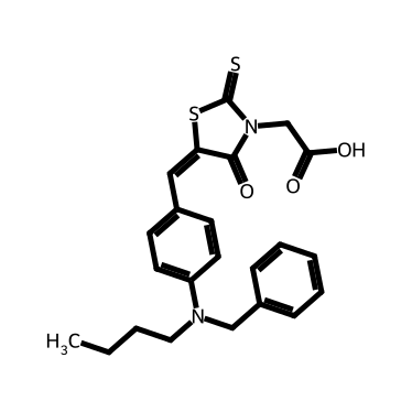 CCCCN(Cc1ccccc1)c1ccc(C=C2SC(=S)N(CC(=O)O)C2=O)cc1